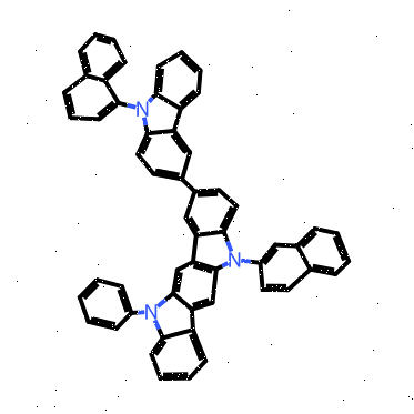 c1ccc(-n2c3ccccc3c3cc4c(cc32)c2cc(-c3ccc5c(c3)c3ccccc3n5-c3cccc5ccccc35)ccc2n4-c2ccc3ccccc3c2)cc1